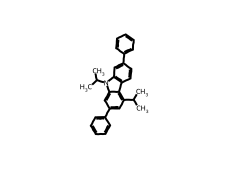 CC(C)c1cc(-c2ccccc2)cc2c1c1ccc(-c3ccccc3)cc1n2C(C)C